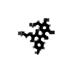 CCOC(=O)C(=O)C(C(=O)c1cc(CC)c(O)cc1O)c1ccc(F)cc1